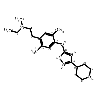 CCN(C)CCc1cc(C)c(Oc2nc(C3CCOCC3)ns2)cc1C